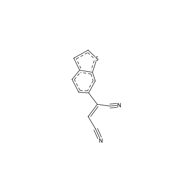 N#CC=C(C#N)c1ccc2ccsc2c1